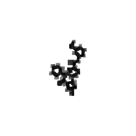 COc1cccc(CNc2ncc3c4n[nH]cc4c(=O)n(-c4ccccc4)c3n2)c1